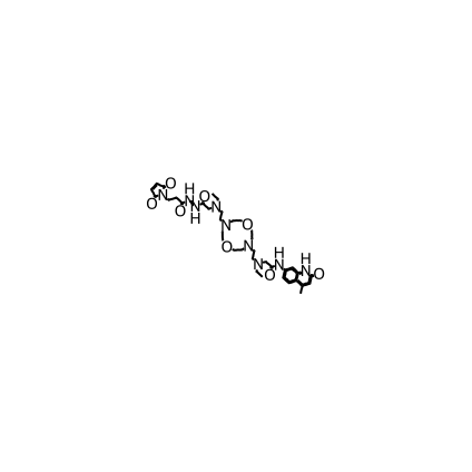 CCN(CCN1CCOCCN(CCN(CC)CC(=O)Nc2ccc3c(C)cc(=O)[nH]c3c2)CCOCC1)CC(=O)NNC(=O)CCN1C(=O)C=CC1=O